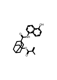 C=C(C)C(=O)OC12CC3CC(C1)CC(C(=O)Nc1cccc4c(O)cccc14)(C3)C2